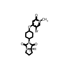 Cn1cc(Br)c(OC2CCC(N3C(=O)[C@@H]4CCCN4C3=O)CC2)cc1=O